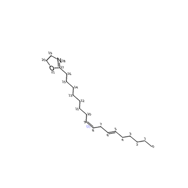 CCCCCC=CC/C=C\CCCCCCCC1=NCCO1